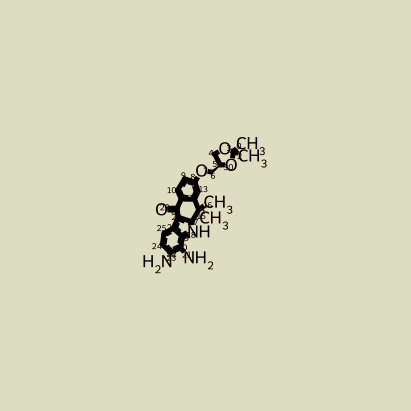 CC1(C)OC[C@H](COc2ccc3c(c2)C(C)(C)c2[nH]c4c(N)c(N)ccc4c2C3=O)O1